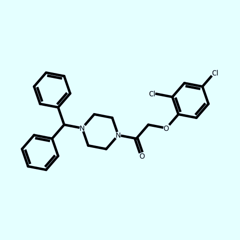 O=C(COc1ccc(Cl)cc1Cl)N1CCN(C(c2ccccc2)c2ccccc2)CC1